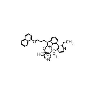 CCc1nccc(C)c1-c1cccc2c(CCCOc3cccc4ccccc34)c(OC(=O)O)n(Cc3cccnc3)c12